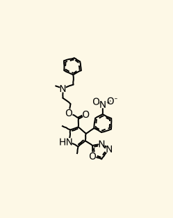 CC1=C(C(=O)OCCN(C)Cc2ccccc2)C(c2cccc([N+](=O)[O-])c2)C(c2nnco2)=C(C)N1